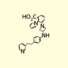 O=C(O)c1cccc(N2CC(Nc3ccc(CCc4cccnc4)cc3)C2)c1-n1cccc1